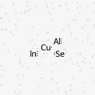 [Al].[Cu].[In].[Se]